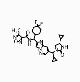 Cc1nonc1C(=O)NC(c1cn2ncc(C(C3CC3)N3C[C@@H](C4CC4)NC3=O)cc2n1)C1CCC(F)(F)CC1